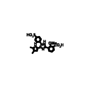 COc1c(C(=O)O)cccc1C1=NN(c2cc(C)c(C)[nH]2)N(c2ccc(S(=O)(=O)O)cc2)N1